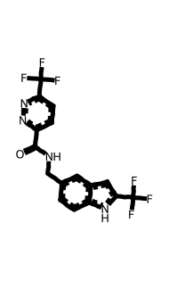 O=C(NCc1ccc2[nH]c(C(F)(F)F)cc2c1)c1ccc(C(F)(F)F)nn1